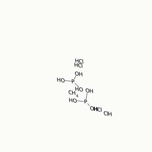 C.Cl.Cl.Cl.Cl.OP(O)O.OP(O)O